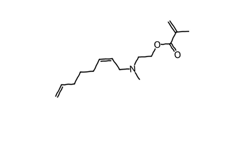 C=CCCC/C=C\CN(C)CCOC(=O)C(=C)C